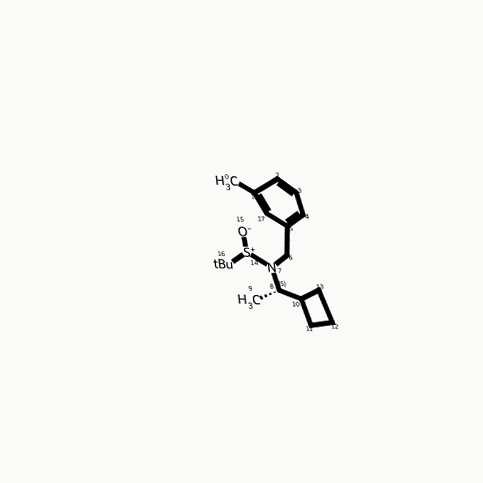 Cc1cccc(CN([C@@H](C)C2CCC2)[S+]([O-])C(C)(C)C)c1